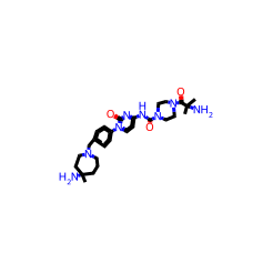 CC1(N)CCCN(Cc2ccc(-n3ccc(NC(=O)N4CCN(C(=O)C(C)(C)N)CC4)nc3=O)cc2)CC1